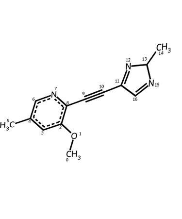 COc1cc(C)cnc1C#CC1=NC(C)N=C1